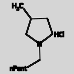 CCCCCCN1CCC(C)C1.Cl